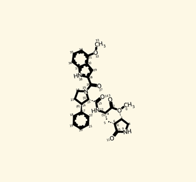 COC(=O)[C@H](C[C@@H]1CCNC1=O)NC(=O)[C@@H]1[C@@H](c2ccccc2)CCN1C(=O)c1cc2c(OC)cccc2[nH]1